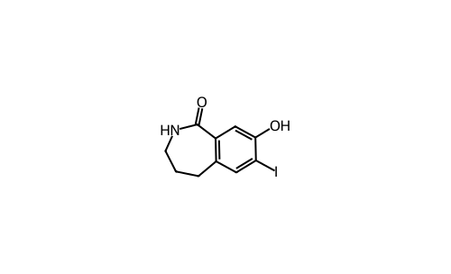 O=C1NCCCc2cc(I)c(O)cc21